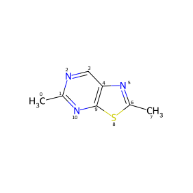 Cc1ncc2nc(C)sc2n1